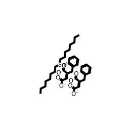 CCCCCCC[CH2][Sn+4][CH2]CCCCCCC.O=C([O-])/C=C(/Cc1ccccc1)C(=O)[O-].O=C([O-])/C=C(/Cc1ccccc1)C(=O)[O-]